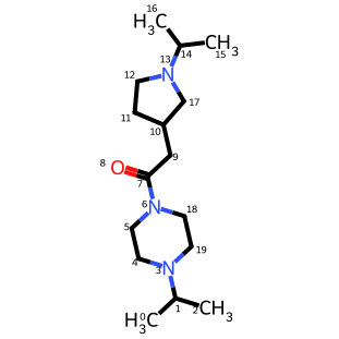 CC(C)N1CCN(C(=O)CC2CCN(C(C)C)C2)CC1